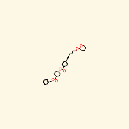 O=C(OC1CCC(C(=O)OCc2ccccc2)CC1)c1ccc(C#CCCCCOC2CCCCO2)cc1